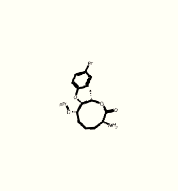 CCCO[C@H]1CCC[C@H](N)C(=O)O[C@@H](C)[C@@H]1Oc1ccc(Br)cc1